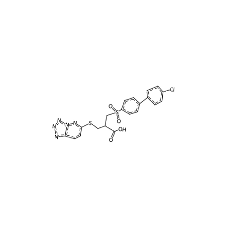 O=C(O)C(CSc1ccc2nnnn2n1)CS(=O)(=O)c1ccc(-c2ccc(Cl)cc2)cc1